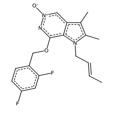 CC=CCn1c(C)c(C)c2c[n+]([O-])nc(OCc3ccc(F)cc3F)c21